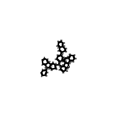 c1ccc(-n2c3ccccc3c3cc(N(c4ccc(-c5ccc6ccccc6c5)cc4)c4cccc5oc6c7ccccc7ccc6c45)ccc32)cc1